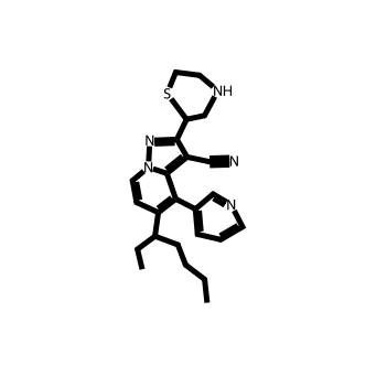 CCCCC(CC)c1ccn2nc(C3CNCCS3)c(C#N)c2c1-c1cccnc1